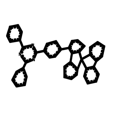 c1ccc(-c2nc(-c3ccccc3)nc(-c3ccc(-c4cccc5c4-c4ccccc4C54c5ccccc5-c5ccccc54)cc3)n2)cc1